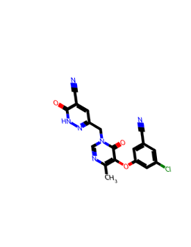 Cc1ncn(Cc2cc(C#N)c(=O)[nH]n2)c(=O)c1Oc1cc(Cl)cc(C#N)c1